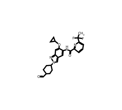 CC(F)(F)c1cccc(C(=O)Nc2cc3cn(C4CCC(C=O)CC4)nc3cc2OC2CC2)n1